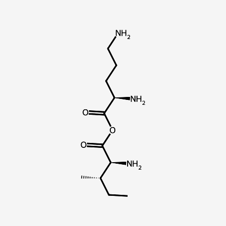 CC[C@H](C)[C@H](N)C(=O)OC(=O)[C@H](N)CCCN